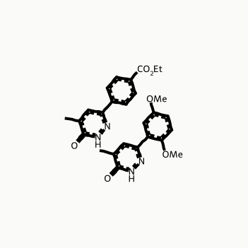 CCOC(=O)c1ccc(-c2cc(C)c(=O)[nH]n2)cc1.COc1ccc(OC)c(-c2cc(C)c(=O)[nH]n2)c1